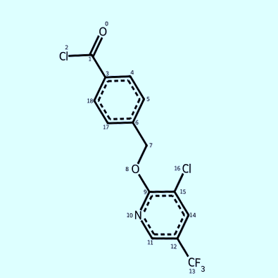 O=C(Cl)c1ccc(COc2ncc(C(F)(F)F)cc2Cl)cc1